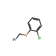 CC(C)CSc1ccccc1Br